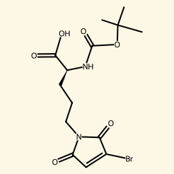 CC(C)(C)OC(=O)N[C@@H](CCCN1C(=O)C=C(Br)C1=O)C(=O)O